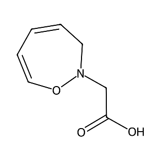 O=C(O)CN1CC=CC=CO1